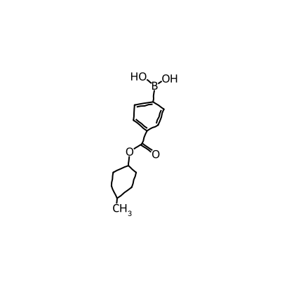 CC1CCC(OC(=O)c2ccc(B(O)O)cc2)CC1